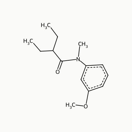 CCC(CC)C(=O)N(C)c1cccc(OC)c1